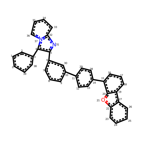 c1ccc(-c2c(-c3cccc(-c4ccc(-c5cccc6c5oc5ccccc56)cc4)c3)nc3ccccn23)cc1